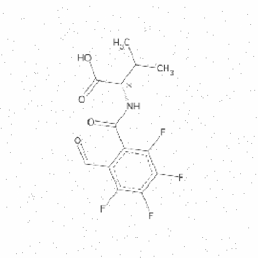 CC(C)[C@H](NC(=O)c1c(F)c(F)c(F)c(F)c1C=O)C(=O)O